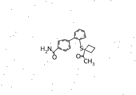 CC(=O)C1(Sc2ccccc2-c2ccc(C(N)=O)cc2)CCC1